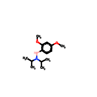 COc1ccc(BN(C(C)C)C(C)C)c(OC)c1